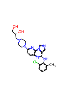 Cc1cccc(Cl)c1Nc1nc2ccc(N3CCN(C[C@@H](O)CO)CC3)nc2n2cncc12